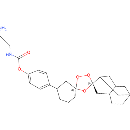 NCCNC(=O)Oc1ccc(C2CCC[C@]3(C2)OO[C@@]2(CC4CCC5CC4CC2C5)O3)cc1